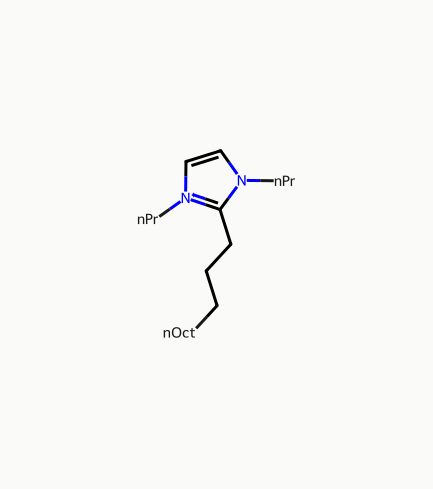 CCCCCCCCCCCc1n(CCC)cc[n+]1CCC